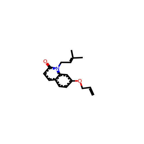 C=CCOc1ccc2ccc(=O)n(CC=C(C)C)c2c1